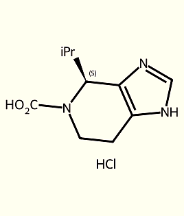 CC(C)[C@H]1c2nc[nH]c2CCN1C(=O)O.Cl